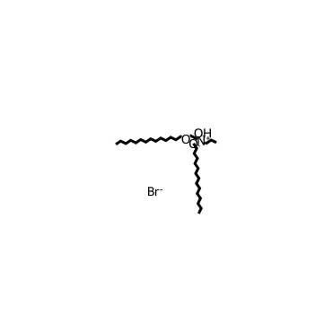 CCCCCCCCCCCCCCOCC(O)(OCCCCCCCCCCCCCC)[N+](C)(C)CCC.[Br-]